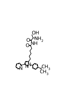 CC(C)c1ccc(-n2nc(-c3ccccn3)cc2CCCCCC(=O)NC(=O)C(N)CO)cc1